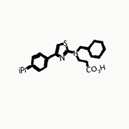 CC(C)c1ccc(-c2csc(N(CCC(=O)O)CC3CCCCC3)n2)cc1